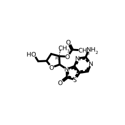 CC(=O)O[C@]1(C)CC(CO)OC1n1c(=O)sc2cnc(N)nc21